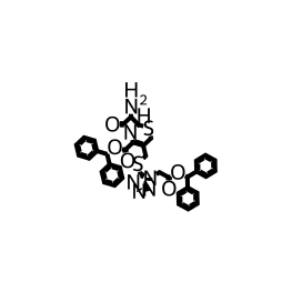 NC1C(=O)N2C(C(=O)OC(c3ccccc3)c3ccccc3)=C(CSc3nnnn3CC(=O)OC(c3ccccc3)c3ccccc3)CS[C@@H]12